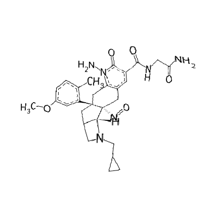 COc1ccc(C)c([C@@]23Cc4c(cc(C(=O)NCC(N)=O)c(=O)n4N)C[C@@]2(N=O)[C@H]2C(CN2CC2CC2)C3)c1